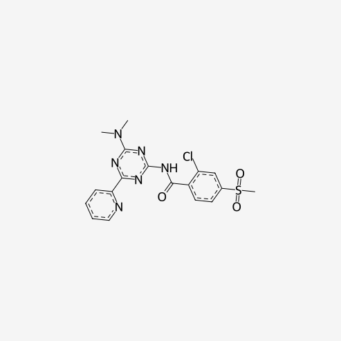 CN(C)c1nc(NC(=O)c2ccc(S(C)(=O)=O)cc2Cl)nc(-c2ccccn2)n1